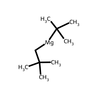 CC(C)(C)[CH2][Mg][C](C)(C)C